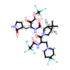 CC1(C)[C@@H]2[C@@H](C(=O)N[C@@H](C[C@@H]3CCNC3=O)C(=O)COC(F)(F)F)N(C(=O)C(CN3CCC(F)(F)CC3)NC(=O)C(F)(F)F)C[C@@H]21